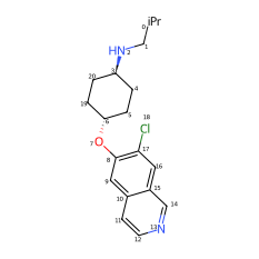 CC(C)CN[C@H]1CC[C@H](Oc2cc3ccncc3cc2Cl)CC1